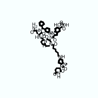 Cn1c(=O)n(C2CCC(=O)NC2=O)c2ccc(NCCCCCC(=O)N3CC[C@H]4CC[C@@H](C(=O)N[C@@H](CCC(N)=O)C(=O)NC(c5ccccc5)c5ccccc5)N4C(=O)[C@@H](NC(=O)c4cc5cc(C(=O)P(=O)(O)O)ccc5[nH]4)C3)cc21